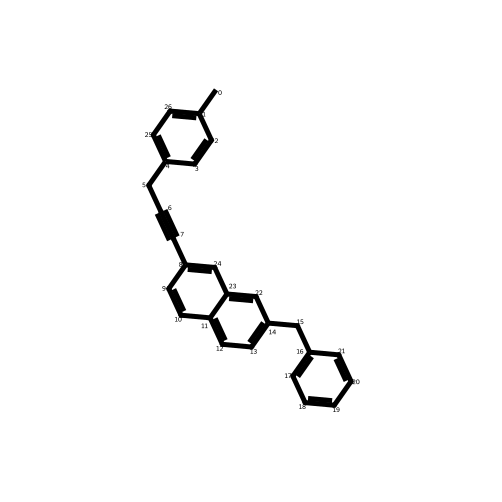 Cc1ccc(CC#Cc2ccc3ccc(Cc4ccccc4)cc3c2)cc1